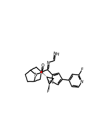 N=C/N=C(\c1cc(-c2ccnc(F)c2)c[nH]1)N1CC2CCC(C1)N2C(=O)[C@@H]1C[C@H]1F